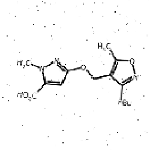 CCCCc1noc(C)c1COc1cc(C(=O)O)n(C)n1